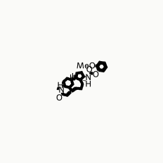 COc1ccccc1OC(=O)N[C@H]1CC[C@H]2[C@@H]3CC[C@H]4N(C)C(=O)C=C[C@]4(/C=C/CC[C@]12C)C3